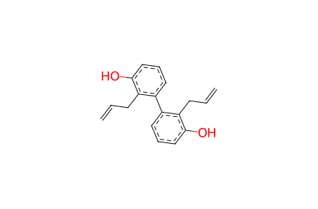 C=CCc1c(O)cccc1-c1cccc(O)c1CC=C